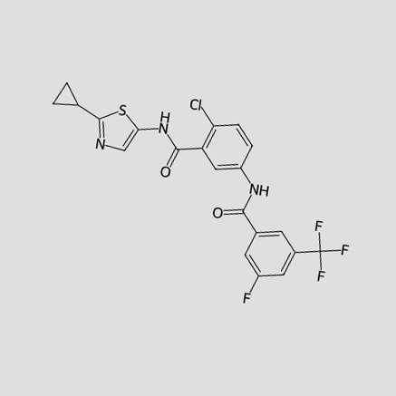 O=C(Nc1ccc(Cl)c(C(=O)Nc2cnc(C3CC3)s2)c1)c1cc(F)cc(C(F)(F)F)c1